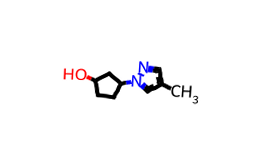 Cc1cnn(C2CCC(O)C2)c1